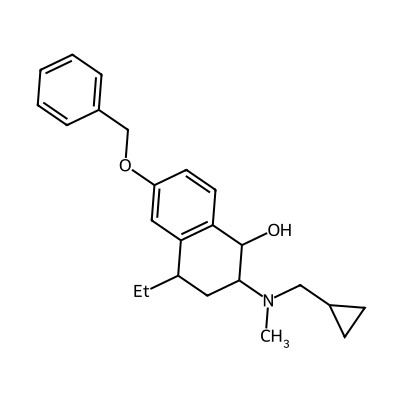 CCC1CC(N(C)CC2CC2)C(O)c2ccc(OCc3ccccc3)cc21